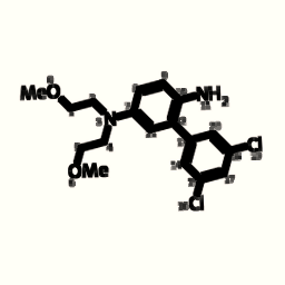 COCCN(CCOC)c1ccc(N)c(-c2cc(Cl)cc(Cl)c2)c1